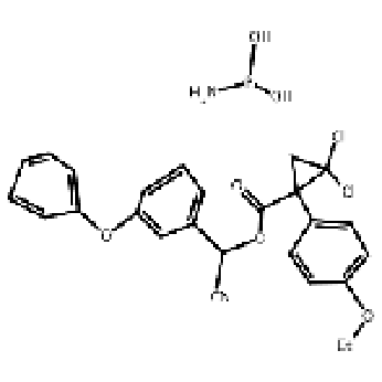 CCOc1ccc(C2(C(=O)OC(C#N)c3cccc(Oc4ccccc4)c3)CC2(Cl)Cl)cc1.NP(O)O